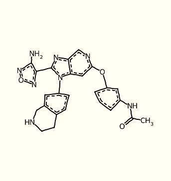 CC(=O)Nc1cccc(Oc2cc3c(cn2)nc(-c2nonc2N)n3-c2ccc3c(c2)CNCC3)c1